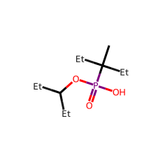 CCC(CC)OP(=O)(O)C(C)(CC)CC